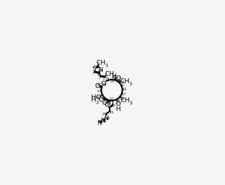 C/C(=C\c1csc(C)n1)[C@@H]1C[C@@H]2OC2(C)CCC[C@H](C)[C@H](O)[C@@H](CCCCN=[N+]=[N-])C(=O)C(C)(C)[C@@H](O)CC(=O)O1